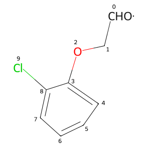 O=[C]COc1ccccc1Cl